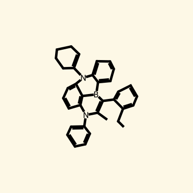 CCc1ccccc1C1=C(C)N(c2ccccc2)c2cccc3c2B1c1ccccc1N3C1=CCCCC1